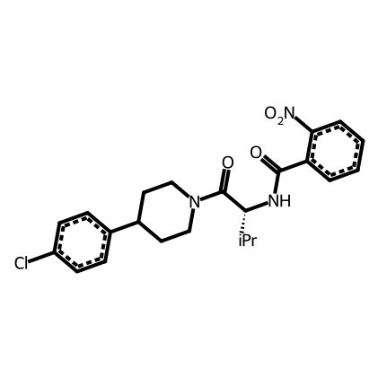 CC(C)[C@@H](NC(=O)c1ccccc1[N+](=O)[O-])C(=O)N1CCC(c2ccc(Cl)cc2)CC1